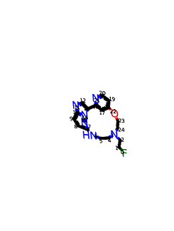 FCCN1CCNc2ccc3ncc(n3n2)-c2cc(ccn2)OCC1